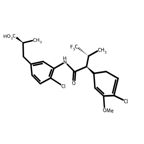 COC1=CC([C@@H](C(=O)Nc2cc(C[C@H](C)C(=O)O)ccc2Cl)[C@@H](C)C(F)(F)F)CC=C1Cl